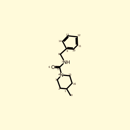 CC1CCN(C(=O)NCc2ccccc2)CC1